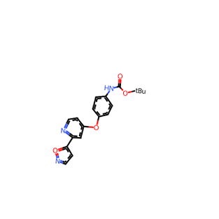 CC(C)(C)OC(=O)Nc1ccc(Oc2ccnc(-c3ccno3)c2)cc1